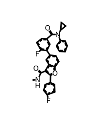 CNC(=O)c1c(-c2ccc(F)cc2)oc2ccc(-c3cc(C(=O)N(c4ccccc4)C4CC4)ccc3F)cc12